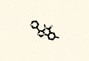 Cc1ccc2c(c1)c(=O)n(C)c1c(-c3cccnc3)ncn21